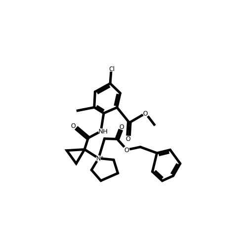 COC(=O)c1cc(Cl)cc(C)c1NC(=O)C1([N+]2(CC(=O)OCc3ccccc3)CCCC2)CC1